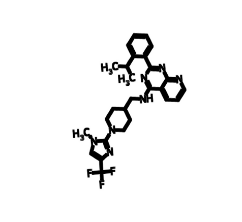 CC(C)c1ccccc1-c1nc(NCC2CCN(c3nc(C(F)(F)F)cn3C)CC2)c2cccnc2n1